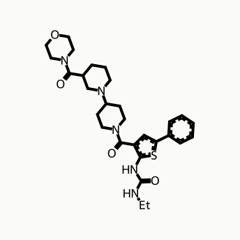 CCNC(=O)Nc1sc(-c2ccccc2)cc1C(=O)N1CCC(N2CCCC(C(=O)N3CCOCC3)C2)CC1